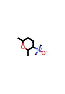 CC1CCC([N+](C)(C)[O-])C(C)O1